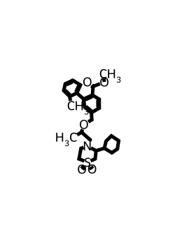 COC(=O)c1ccc(COC(C)CN2CCS(=O)(=O)CC2C2CCCCC2)cc1-c1ccccc1C